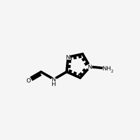 Nn1cnc(NC=O)c1